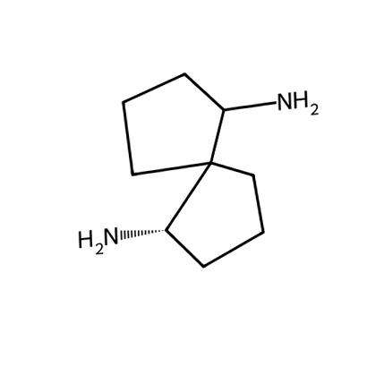 NC1CCCC12CCC[C@@H]2N